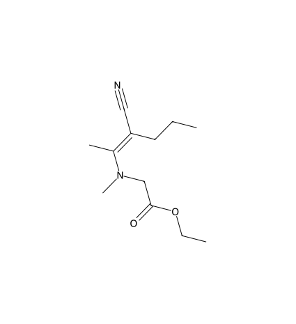 CCC/C(C#N)=C(/C)N(C)CC(=O)OCC